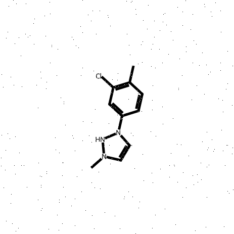 Cc1ccc(N2[C]=CN(C)N2)cc1Cl